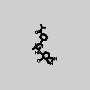 CN(C)C(=O)c1cccc(-c2nc(Nc3ccc4[nH]ncc4c3Cl)n(C)n2)c1